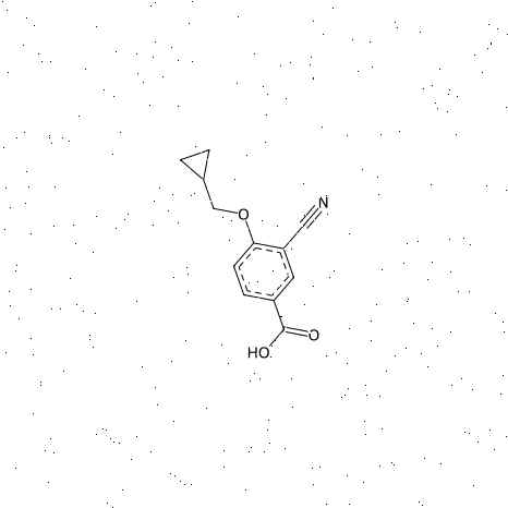 N#Cc1cc(C(=O)O)ccc1OCC1CC1